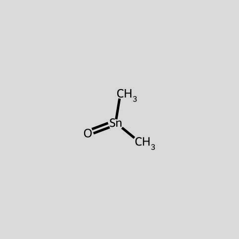 [CH3][Sn]([CH3])=[O]